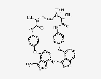 Cc1noc2cccc(Oc3ccc(NC(=O)[C@@H](C)N(C(=O)O)C(C)(C)C)cc3)c12.Cc1noc2cccc(Oc3ccc(NC(=O)[C@@H](C)N)cc3)c12